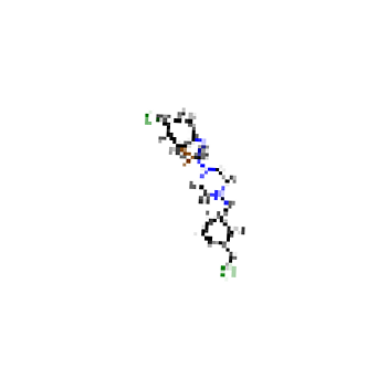 ClCc1cccc(CN2CCN(c3nc4ccc(Cl)cc4s3)CC2)c1